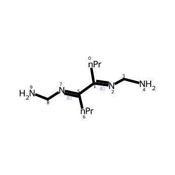 CCCC(=N\CN)/C(CCC)=N/CN